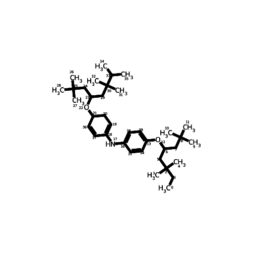 CCC(C)(C)CC(CC(C)(C)C)Oc1ccc(NC2=CCC(OC(CC(C)(C)C)CC(C)(C)C(C)C)C=C2)cc1